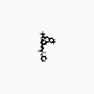 Cc1cc(/C=C/C(=O)NOC2CCOCC2)cc2nc(C(F)(F)F)c(CC3CCC(F)(F)CC3)n12